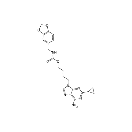 Nc1nc(C2CC2)nc2c1ncn2CCCCOC(=O)NCc1ccc2c(c1)OCO2